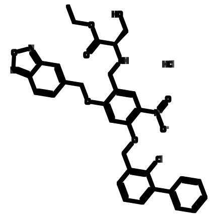 CCOC(=O)[C@@H](CO)NCc1cc([N+](=O)[O-])c(OCc2cccc(-c3ccccc3)c2Cl)cc1OCc1ccc2nonc2c1.Cl